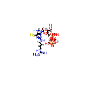 CC(O[C@H](COP(=O)(O)OP(=O)(O)OP(=O)(O)O)[C@H](O)CO)N1CNc2c(S)nc(NCCCCNC(=N)N)nc21